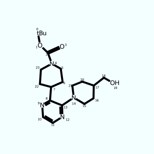 CC(C)(C)OC(=O)N1CCC(c2nccnc2N2CCC(CO)CC2)CC1